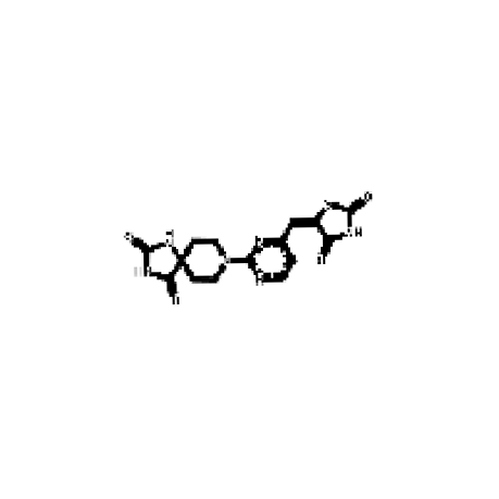 O=C1NC(=O)C2(CCN(c3nccc(/C=C4/SC(=O)NC4=O)n3)CC2)N1